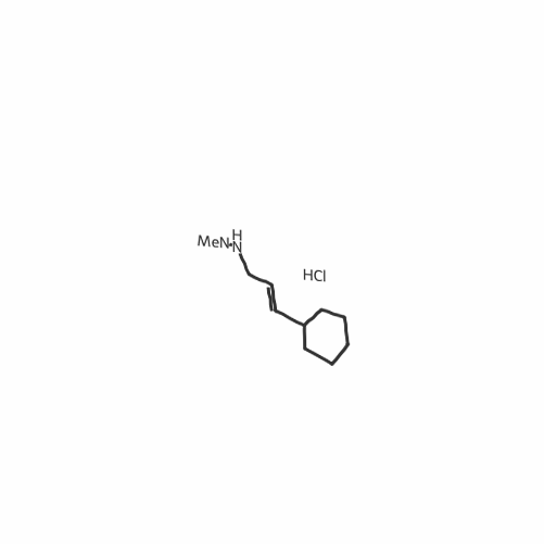 CNNCC=CC1CCCCC1.Cl